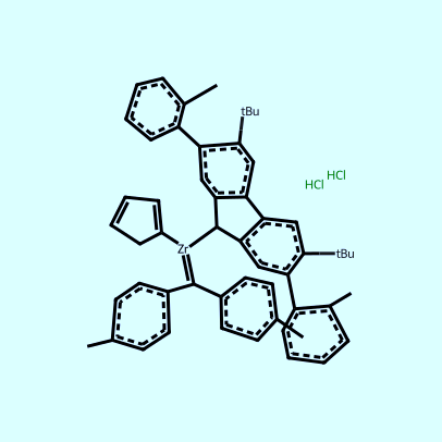 Cc1ccc([C](c2ccc(C)cc2)=[Zr]([C]2=CC=CC2)[CH]2c3cc(-c4ccccc4C)c(C(C)(C)C)cc3-c3cc(C(C)(C)C)c(-c4ccccc4C)cc32)cc1.Cl.Cl